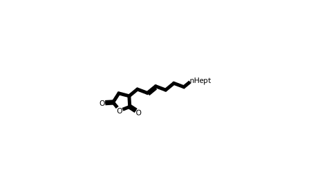 CCCCCCCCCC/C=C/CC1CC(=O)OC1=O